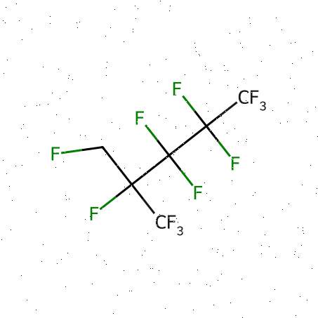 FCC(F)(C(F)(F)F)C(F)(F)C(F)(F)C(F)(F)F